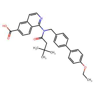 CCOc1ccc(-c2ccc(CN(C(=O)CC(C)(C)C)c3nccc4cc(C(=O)O)ccc34)cc2)cc1